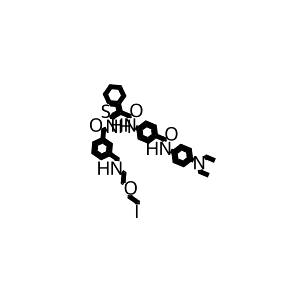 CCN(CC)c1ccc(NC(=O)c2ccc(NC(=O)c3c(NC(=O)c4cccc(CNCCOCCI)c4)sc4c3CCCC4)cc2)cc1